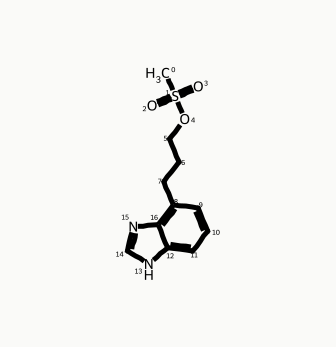 CS(=O)(=O)OCCCc1cccc2[nH]cnc12